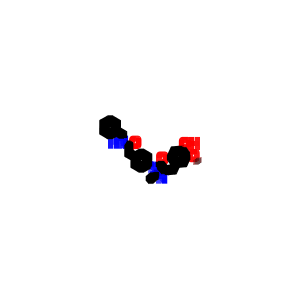 COc1cc(C=C2N=C(C)N(c3ccc(CC(=O)NCc4ccccc4)cc3)C2=O)ccc1O